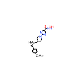 COc1ccc(C2CC2[AsH]CC2CCN(c3ncc(C(=O)NO)cn3)CC2)cc1